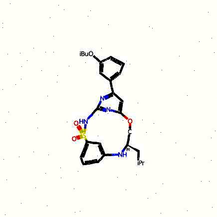 CC(C)COc1cccc(-c2cc3nc(n2)NS(=O)(=O)c2cccc(c2)N[C@H](CC(C)C)CO3)c1